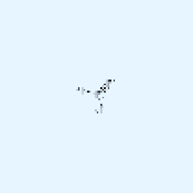 FP(#P)I